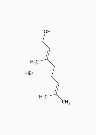 Br.CC(C)=CCC/C(C)=C/CO